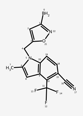 Bc1cc(Cn2c(C)cc3c(C(F)(F)F)c(C#N)ccc32)on1